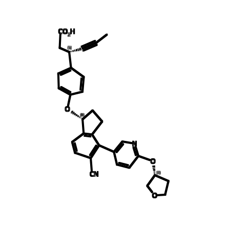 CC#C[C@@H](CC(=O)O)c1ccc(O[C@@H]2CCc3c2ccc(C#N)c3-c2ccc(O[C@@H]3CCOC3)nc2)cc1